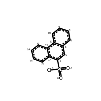 O=S(=O)(Cl)c1cc2ccccc2c2ccccc12